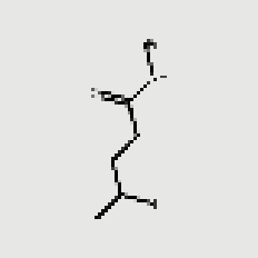 CC(I)CCC(=O)NC(C)C